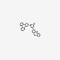 Fc1cc(-c2ccc3c(c2)Oc2ccccc2C=C3)cc(-c2ccc3c4ccccc4c4ccccc4c3c2)c1